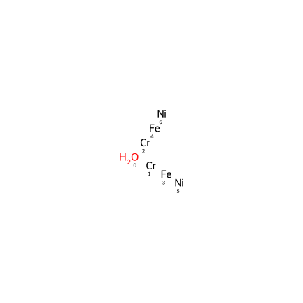 O.[Cr].[Cr].[Fe].[Fe].[Ni].[Ni]